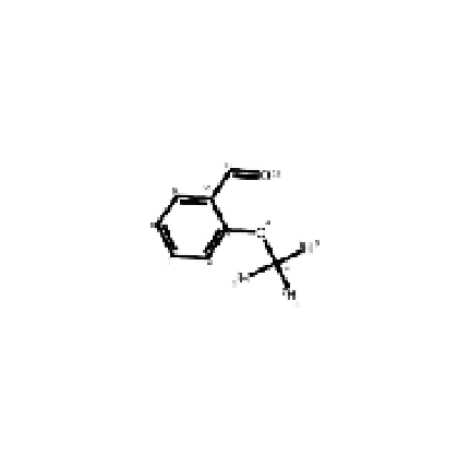 [3H]C([3H])([3H])Oc1ccccc1C=O